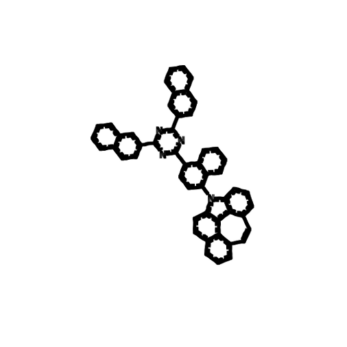 C1=Cc2cccc3c2c2c4c1cccc4ccc2n3-c1ccc(-c2nc(-c3ccc4ccccc4c3)nc(-c3ccc4ccccc4c3)n2)c2ccccc12